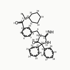 CN(C(=O)c1cccc(CN2C(=N)NC(c3ccccc3)(c3ccccc3)C2=O)c1)C1CCCCC1